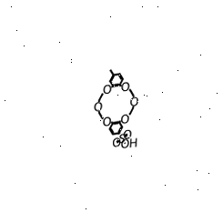 Cc1ccc2c(c1)OCCOCCOc1ccc(S(=O)(=O)O)cc1OCCOCCO2